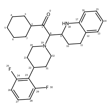 O=C(C1CCCCC1)C(C1CCc2ccccc2N1)N1CCC(c2c(F)cccc2F)CC1